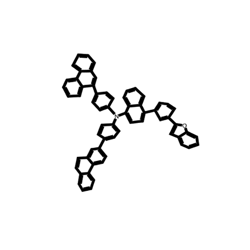 c1cc(-c2cc3ccccc3o2)cc(-c2ccc(N(c3ccc(-c4ccc5c(ccc6ccccc65)c4)cc3)c3ccc(-c4cc5ccccc5c5ccccc45)cc3)c3ccccc23)c1